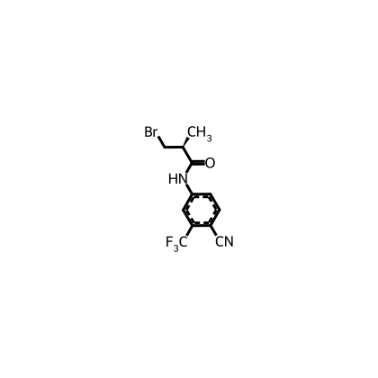 C[C@H](CBr)C(=O)Nc1ccc(C#N)c(C(F)(F)F)c1